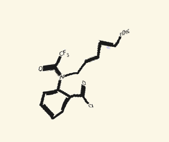 CCCCCCCCCC/C=C/CCCN(C(=O)C(F)(F)F)c1ccccc1C(=O)Cl